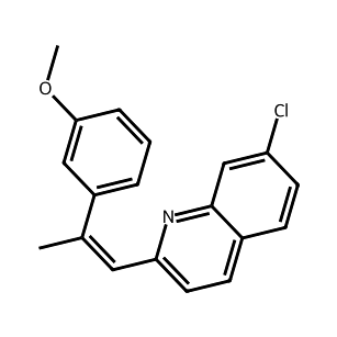 COc1cccc(C(C)=Cc2ccc3ccc(Cl)cc3n2)c1